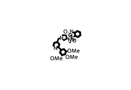 COc1cc(-c2cc(CN3CC[C@H](N(C)S(=O)(=O)c4ccccc4[N+](=O)[O-])C3)ccn2)cc(OC)c1OC